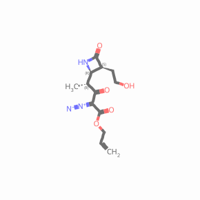 C=CCOC(=O)C(=[N+]=[N-])C(=O)[C@H](C)[C@H]1NC(=O)[C@H]1CCO